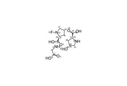 NCC(=O)O.O=C(O)[C@@H]1CCCN1F.O=C(O)[C@@H]1C[C@@H](O)CN1